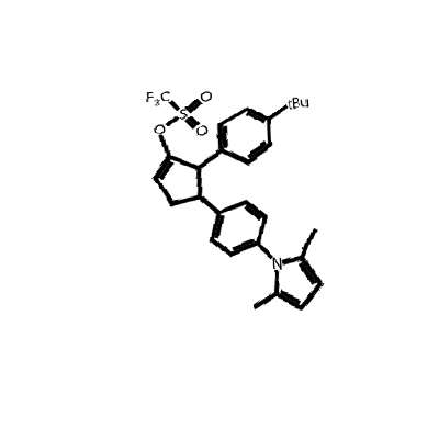 Cc1ccc(C)n1-c1ccc(C2CC=C(OS(=O)(=O)C(F)(F)F)C2c2ccc(C(C)(C)C)cc2)cc1